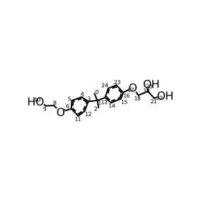 CC(C)(c1ccc(OCCO)cc1)c1ccc(OCC(O)CO)cc1